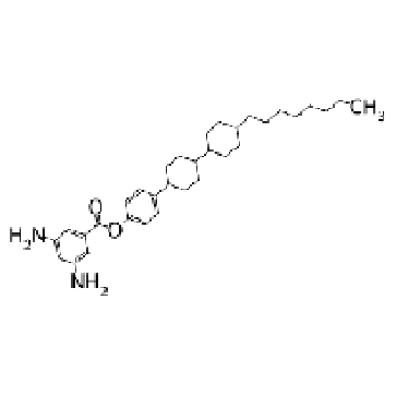 CCCCCCCCC1CCC(C2CCC(c3ccc(OC(=O)c4cc(N)cc(N)c4)cc3)CC2)CC1